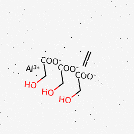 C=C.O=C([O-])CO.O=C([O-])CO.O=C([O-])CO.[Al+3]